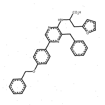 O=C(O)C(Cc1ccco1)Nc1ncc(-c2ccc(OCc3ccccc3)cc2)nc1Cc1ccccc1